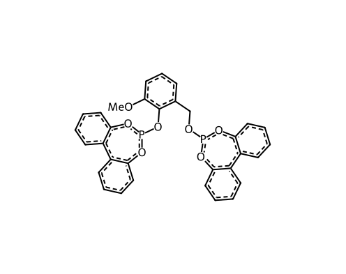 COc1cccc(COp2oc3ccccc3c3ccccc3o2)c1Op1oc2ccccc2c2ccccc2o1